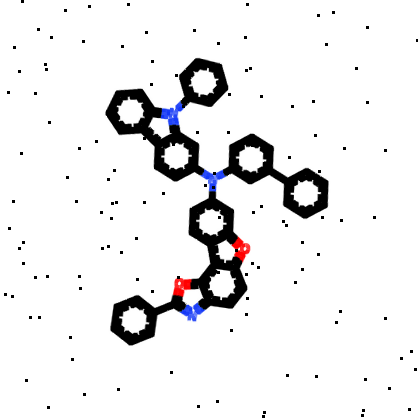 c1ccc(-c2cccc(N(c3ccc4c(c3)oc3ccc5nc(-c6ccccc6)oc5c34)c3ccc4c5ccccc5n(-c5ccccc5)c4c3)c2)cc1